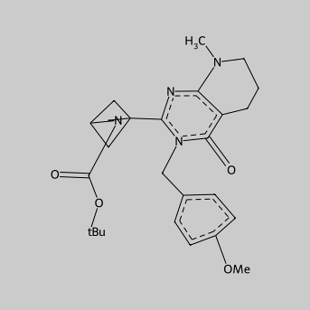 COc1ccc(Cn2c(C34CC(C3)N(C(=O)OC(C)(C)C)C4)nc3c(c2=O)CCCN3C)cc1